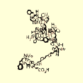 CC[C@H](C)[C@@H]([C@@H](CC(=O)N1CCC[C@H]1[C@H](OC)[C@@H](C)C(=O)N[C@@H](Cc1ccccc1)c1nccs1)OC)N(C)C(=O)[C@@H](NC(=O)[C@H](C(C)C)N(C)C(=O)OCc1ccc(NC(=O)[C@H](CCCNC(N)=O)NC(=O)[C@@H](NC(=O)CCOCCOCCNC(=O)[C@H](CCC(=O)O)NC(=O)CCn2c(CN(C)NC)cc3ccccc32)C(C)C)cc1)C(C)C